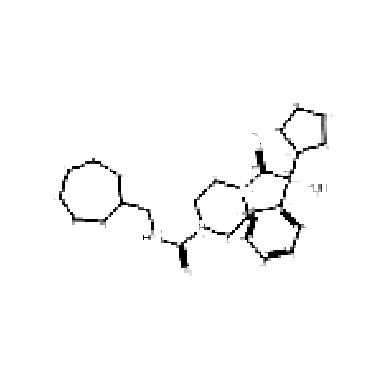 N=C(NCC1CCCCCC1)N1CCN(C(=O)[C@](O)(c2ccccc2)C2CCCC2)CC1